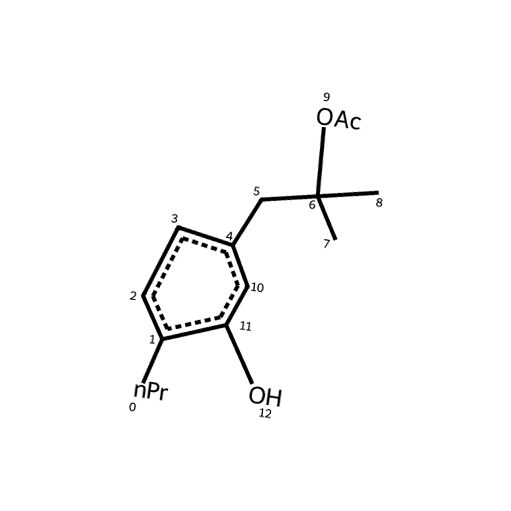 CCCc1ccc(CC(C)(C)OC(C)=O)cc1O